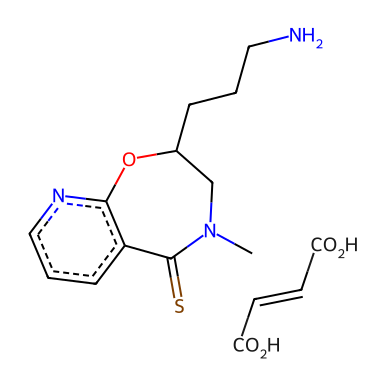 CN1CC(CCCN)Oc2ncccc2C1=S.O=C(O)C=CC(=O)O